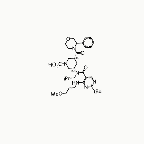 COCCCNc1nc(C(C)(C)C)ncc1C(=O)N(CC(C)C)[C@H]1C[C@@H](C(=O)N2CCOCC2c2ccccc2)CN(C(=O)O)C1